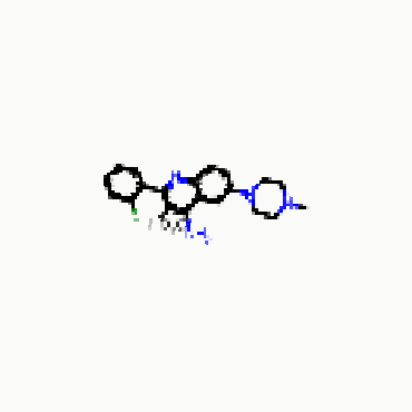 CN1CCN(c2ccc3nc(-c4ccccc4F)c(C(=O)O)c(N)c3c2)CC1